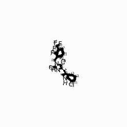 O=C1N[C@H](Cc2c[nH]c3c(Cl)cccc23)C(=O)N1Cc1cccc(C(F)(F)F)c1F